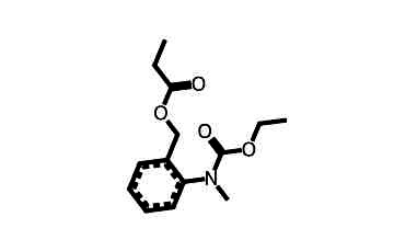 CCOC(=O)N(C)c1ccccc1COC(=O)CC